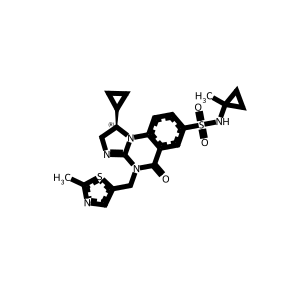 Cc1ncc(CN2C(=O)c3cc(S(=O)(=O)NC4(C)CC4)ccc3N3C2=NC[C@H]3C2CC2)s1